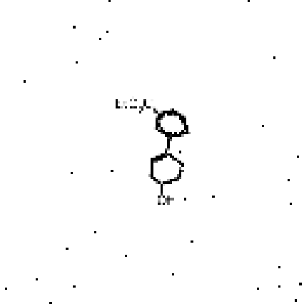 CCOC(=O)c1cccc(C2=CCC(O)CC2)c1